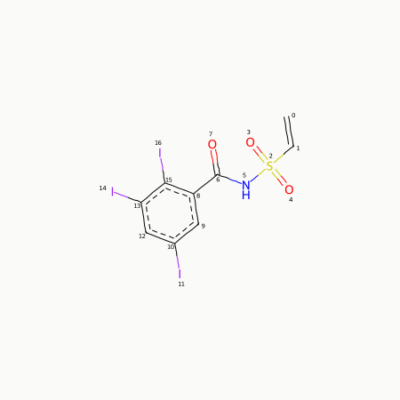 C=CS(=O)(=O)NC(=O)c1cc(I)cc(I)c1I